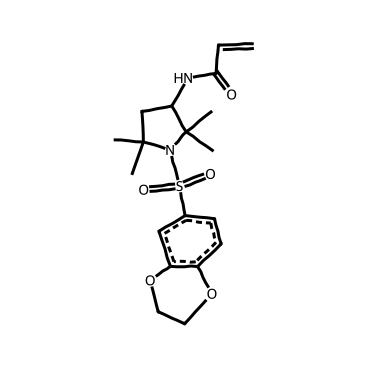 C=CC(=O)NC1CC(C)(C)N(S(=O)(=O)c2ccc3c(c2)OCCO3)C1(C)C